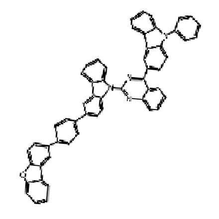 c1ccc(-n2c3ccccc3c3cc(-c4nc(-n5c6ccccc6c6cc(-c7ccc(-c8ccc9oc%10ccccc%10c9c8)cc7)ccc65)nc5ccccc45)ccc32)cc1